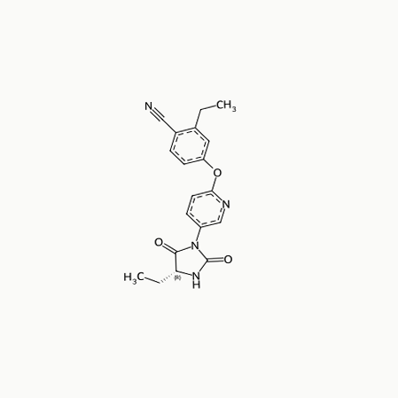 CCc1cc(Oc2ccc(N3C(=O)N[C@H](CC)C3=O)cn2)ccc1C#N